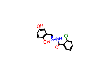 O=C(NN=Cc1cc(O)ccc1O)c1ccccc1Cl